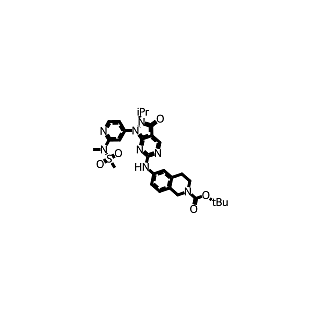 CC(C)n1c(=O)c2cnc(Nc3ccc4c(c3)CCN(C(=O)OC(C)(C)C)C4)nc2n1-c1ccnc(N(C)S(C)(=O)=O)c1